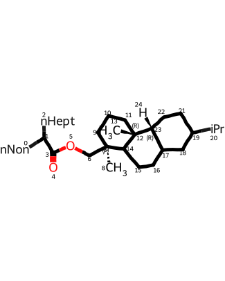 CCCCCCCCCC(CCCCCCC)C(=O)OC[C@@]1(C)CCC[C@@]2(C)C1CCC1CC(C(C)C)CC[C@H]12